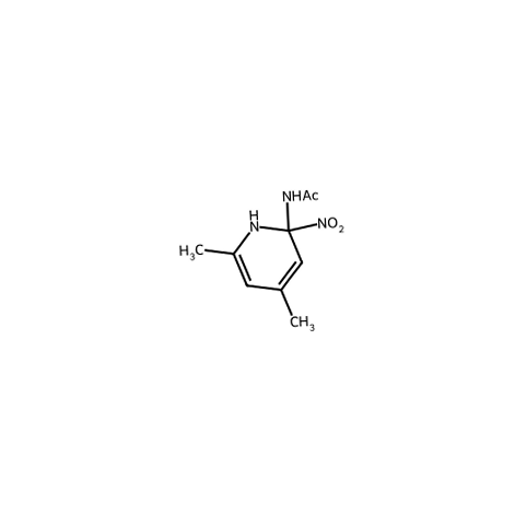 CC(=O)NC1([N+](=O)[O-])C=C(C)C=C(C)N1